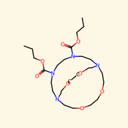 CCCOC(=O)N1CCN2CCOCCOCCN(CCOCCOCC2)CCN(C(=O)OCCC)CC1